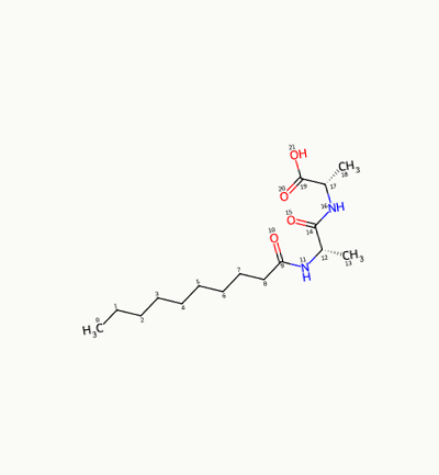 CCCCCCCCCC(=O)N[C@@H](C)C(=O)N[C@@H](C)C(=O)O